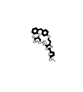 CCC(Oc1ccccc1Cc1ccc(OCCc2nc(-c3ccc(C)s3)oc2C)cc1)C(=O)O